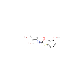 COc1cccc(SC(=O)NCC(Br)CBr)c1